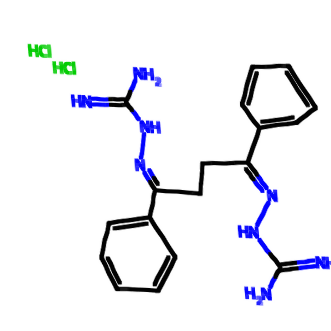 Cl.Cl.N=C(N)NN=C(CCC(=NNC(=N)N)c1ccccc1)c1ccccc1